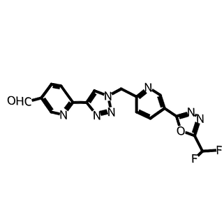 O=Cc1ccc(-c2cn(Cc3ccc(-c4nnc(C(F)F)o4)cn3)nn2)nc1